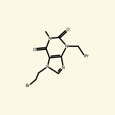 CC(C)Cn1c(=O)n(C)c(=O)c2c1ncn2CCBr